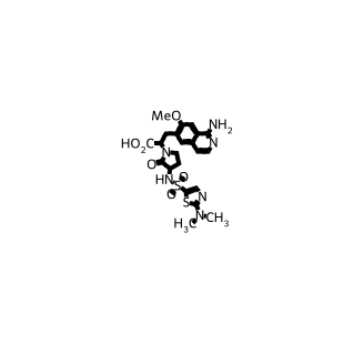 COc1cc2c(N)nccc2cc1CC(C(=O)O)N1CCC(NS(=O)(=O)c2cnc(N(C)C)s2)C1=O